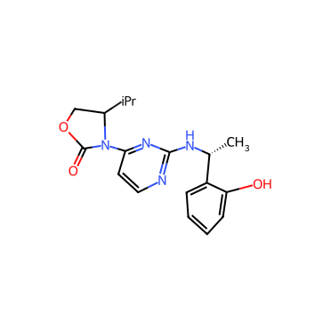 CC(C)C1COC(=O)N1c1ccnc(N[C@H](C)c2ccccc2O)n1